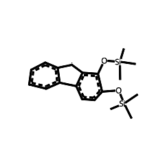 C[Si](C)(C)Oc1ccc2c(c1O[Si](C)(C)C)[CH]c1ccccc1-2